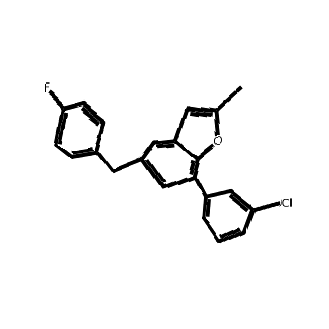 Cc1cc2cc(Cc3ccc(F)cc3)cc(-c3cccc(Cl)c3)c2o1